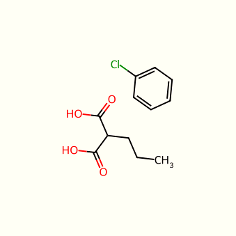 CCCC(C(=O)O)C(=O)O.Clc1ccccc1